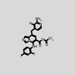 Nc1nccc(Cc2cc(C(=O)OC(=O)C(F)(F)F)c(Nc3ccc(I)cc3F)n3cncc23)c1F